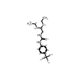 CCOC(CNC(=O)Nc1ccc(C(F)(F)F)cc1)OCC